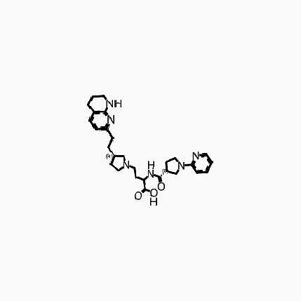 O=C(O)C(CCN1CC[C@@H](CCc2ccc3c(n2)NCCC3)C1)NC(=O)[C@@H]1CCN(c2ccccn2)C1